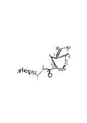 CCCCCCCCCC(=O)c1cc2cscc2s1